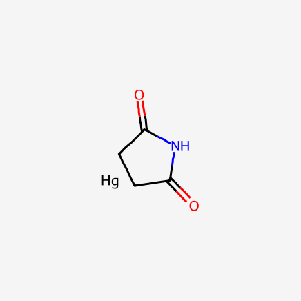 O=C1CCC(=O)N1.[Hg]